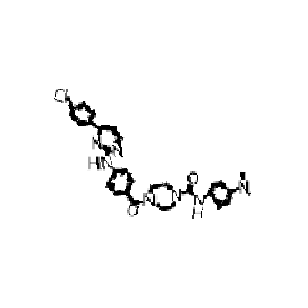 CN(C)c1ccc(NC(=O)N2CCN(C(=O)c3ccc(Nc4nccc(-c5ccc(Cl)cc5)n4)cc3)CC2)cc1